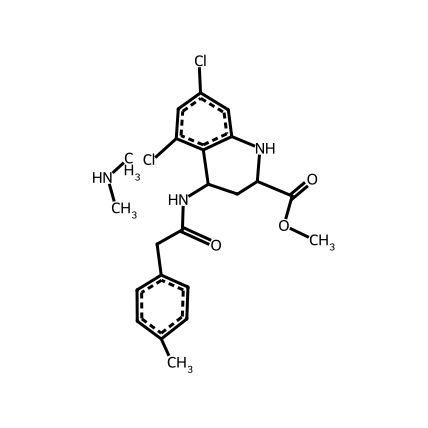 CNC.COC(=O)C1CC(NC(=O)Cc2ccc(C)cc2)c2c(Cl)cc(Cl)cc2N1